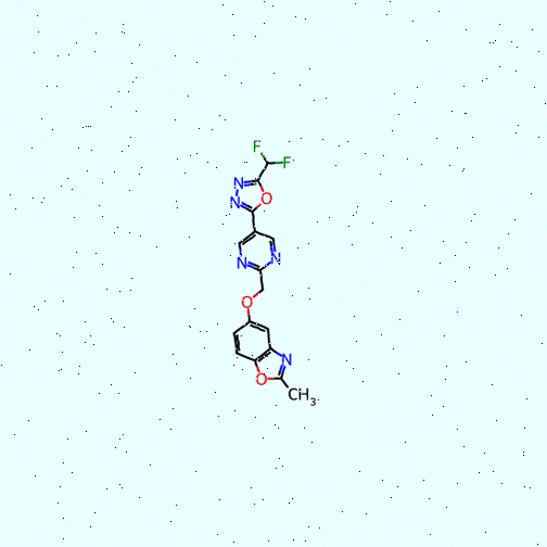 Cc1nc2cc(OCc3ncc(-c4nnc(C(F)F)o4)cn3)ccc2o1